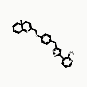 CC12C=CC=CC1=NC(COc1ccc(Cc3cc(-c4cccnc4N)on3)cc1)=CC2